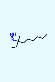 CCCCCCC(C)(CC)N=N